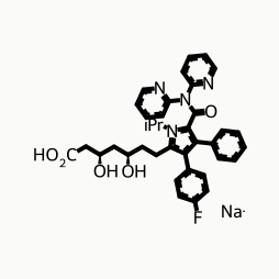 CC(C)n1c(CC[C@@H](O)C[C@@H](O)CC(=O)O)c(-c2ccc(F)cc2)c(-c2ccccc2)c1C(=O)N(c1ccccn1)c1ccccn1.[Na]